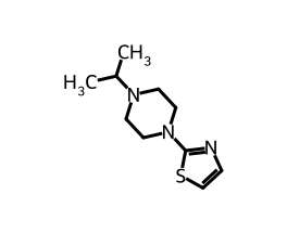 CC(C)N1CCN(c2nccs2)CC1